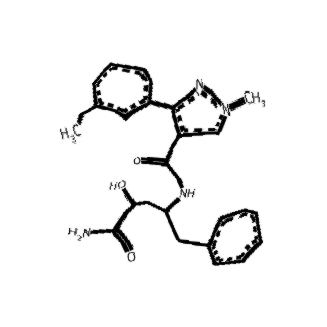 Cc1cccc(-c2nn(C)cc2C(=O)NC(Cc2ccccc2)C(O)C(N)=O)c1